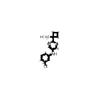 O=C(O)C1(c2ncc(Nc3cccc(Cl)c3)cn2)CCC1